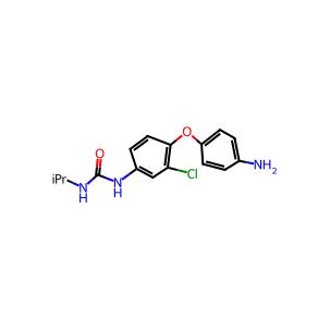 CC(C)NC(=O)Nc1ccc(Oc2ccc(N)cc2)c(Cl)c1